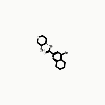 O=C(N[C@H]1CCOC[C@@H]1O)c1cc(Br)c2c(n1)CCCC2